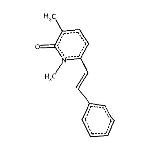 Cc1ccc(C=Cc2ccccc2)n(C)c1=O